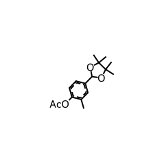 CC(=O)Oc1ccc(C2OC(C)(C)C(C)(C)O2)cc1C